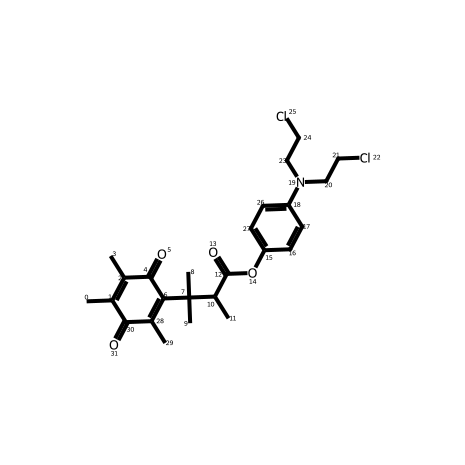 CC1=C(C)C(=O)C(C(C)(C)C(C)C(=O)Oc2ccc(N(CCCl)CCCl)cc2)=C(C)C1=O